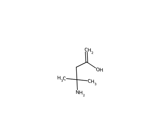 C=C(O)CC(C)(C)N